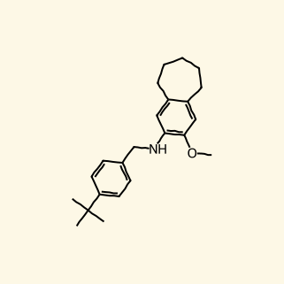 COc1cc2c(cc1NCc1ccc(C(C)(C)C)cc1)CCCCC2